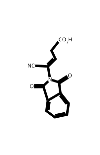 N#C/C(=C\CC(=O)O)N1C(=O)c2ccccc2C1=O